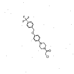 O=C(CCl)N1CCN(c2ccc(OCc3ccc(C(F)(F)F)cc3)cc2)CC1